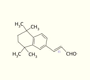 CC1(C)CCC(C)(C)c2cc(/C=C/[C]=O)ccc21